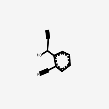 C#CC(O)c1ccccc1C#N